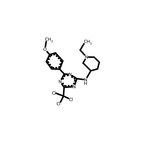 CCN1CCCC(Nc2nc(-c3ccc(OC)cc3)nc(C(Cl)(Cl)Cl)n2)C1